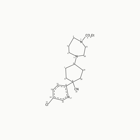 CCOC(=O)N1CCCN(C2CCC(C#N)(c3ccc(Cl)cn3)CC2)CC1